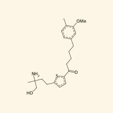 COc1cc(CCCCC(=O)c2ccc(CCC(C)(N)CO)s2)ccc1C